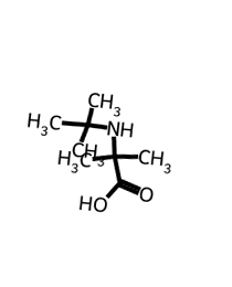 CC(C)(C)NC(C)(C)C(=O)O